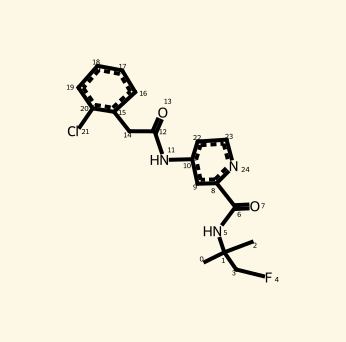 CC(C)(CF)NC(=O)c1cc(NC(=O)Cc2ccccc2Cl)ccn1